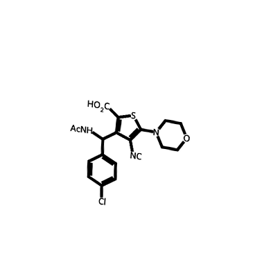 [C-]#[N+]c1c(N2CCOCC2)sc(C(=O)O)c1C(NC(C)=O)c1ccc(Cl)cc1